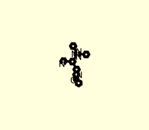 c1ccc(-c2nc(-c3ccccc3)nc(-c3cc(-c4cccnc4)cc(-c4ccc5nc6c(cc5c4)oc4ccccc46)c3)n2)cc1